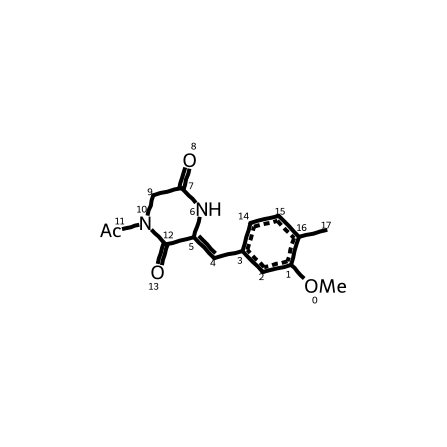 COc1cc(C=C2NC(=O)CN(C(C)=O)C2=O)ccc1C